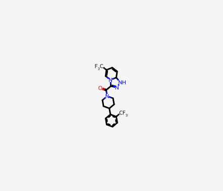 O=C(C1=NNC2C=CC(C(F)(F)F)=CN12)N1CCC(c2ccccc2C(F)(F)F)CC1